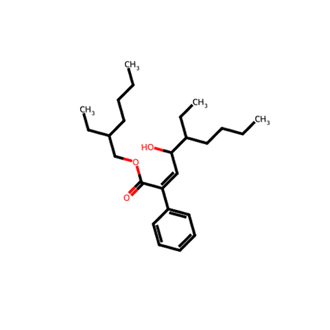 CCCCC(CC)COC(=O)C(=CC(O)C(CC)CCCC)c1ccccc1